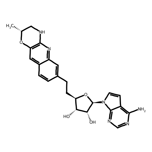 C[C@@H]1CNc2nc3cc(CC[C@H]4O[C@@H](n5ccc6c(N)ncnc65)[C@H](O)[C@@H]4O)ccc3cc2O1